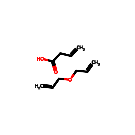 C=CCC(=O)O.C=CCOCC=C